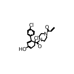 C=CC(=O)N1CCN(C(=O)C2(Cl)CC=C(O)C=C2c2ccc(Cl)cc2)CC1